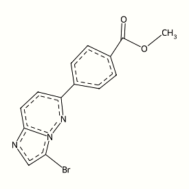 COC(=O)c1ccc(-c2ccc3ncc(Br)n3n2)cc1